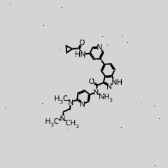 CN(C)CCN(C)c1ccc(N(N)C(=O)c2n[nH]c3ccc(-c4cncc(NC(=O)C5CC5)c4)cc23)cn1